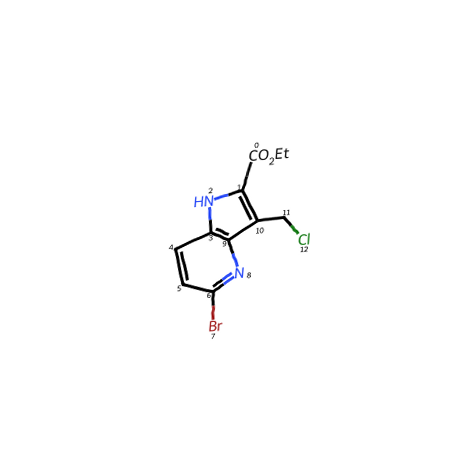 CCOC(=O)c1[nH]c2ccc(Br)nc2c1CCl